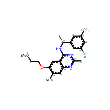 COCCOc1cc2c(N[C@H](C)c3cc(F)cc(C(F)(F)F)c3)nc(C)nc2cc1C#N